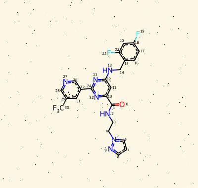 O=C(NCCn1cccn1)c1cc(NCc2ccc(F)cc2F)nc(-c2cncc(C(F)(F)F)c2)n1